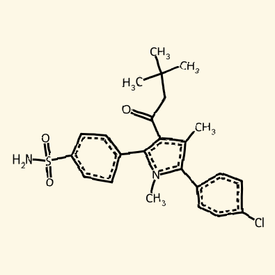 Cc1c(C(=O)CC(C)(C)C)c(-c2ccc(S(N)(=O)=O)cc2)n(C)c1-c1ccc(Cl)cc1